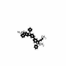 C=c1/c(=C\C=C/C)c2cc(-c3ccc4c(c3)c3cc5c(cc3n4-c3ccccc3)C(C)(C)c3ccccc3-5)ccc2n1-c1ccccc1